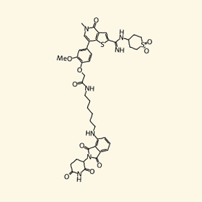 COc1cc(-c2cn(C)c(=O)c3cc(C(=N)NC4CCS(=O)(=O)CC4)sc23)ccc1OCC(=O)NCCCCCCNc1cccc2c1C(=O)N(C1CCC(=O)NC1=O)C2=O